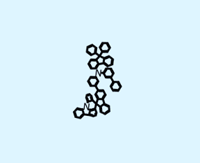 c1ccc(-c2cccc(N(c3cccc(-c4ccc5c(c4)C4(c6ccccc6-5)c5ccccc5-n5c6ccccc6c6cccc4c65)c3)c3cccc4c3-c3ccccc3C4(c3ccccc3)c3ccccc3)c2)cc1